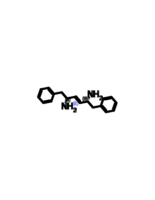 N[C@@H](/C=C/[C@H](N)Cc1ccccc1)Cc1ccccc1